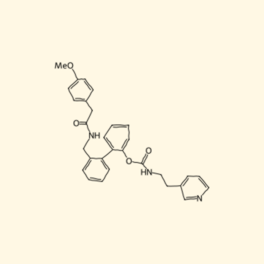 COc1ccc(CC(=O)NCc2ccccc2-c2ccccc2OC(=O)NCCc2cccnc2)cc1